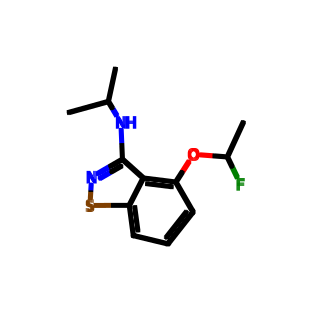 CC(C)Nc1nsc2cccc(OC(C)F)c12